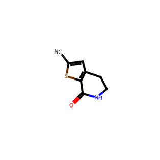 N#Cc1cc2c(s1)C(=O)NCC2